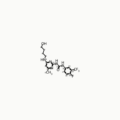 Cc1cc(NCCCCO)nc(NC(=O)Nc2ccc(F)c(C(F)(F)F)c2)n1